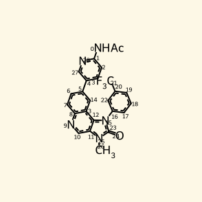 CC(=O)Nc1ccc(-c2ccc3ncc4c(c3c2)n(-c2cccc(C(F)(F)F)c2)c(=O)n4C)cn1